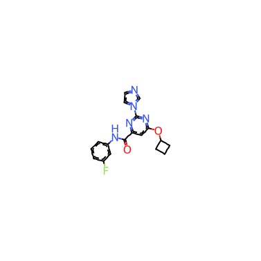 O=C(Nc1cccc(F)c1)c1cc(OC2CCC2)nc(-n2ccnc2)n1